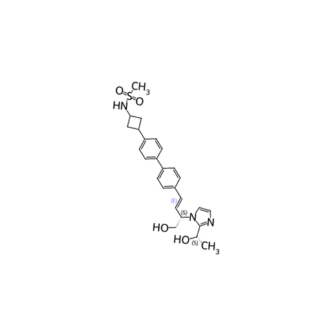 C[C@H](O)c1nccn1[C@@H](/C=C/c1ccc(-c2ccc(C3CC(NS(C)(=O)=O)C3)cc2)cc1)CO